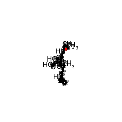 Cc1ccc(NCCCCOC(C(=O)N(C)CCCCCNc2ccc3c(c2)CCC3)C(OCC(=O)O)C(=O)O)cc1C